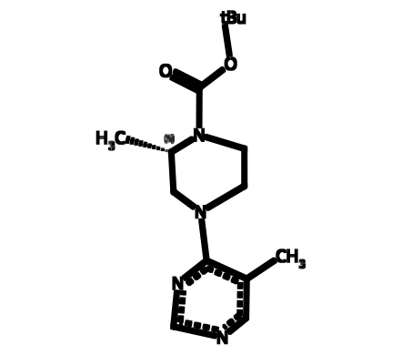 Cc1cncnc1N1CCN(C(=O)OC(C)(C)C)[C@@H](C)C1